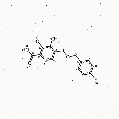 Cc1c(COCc2ccc(F)cc2)cnc(C(=O)O)c1O